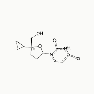 O=c1ccn(C2CC[C@](CO)(C3CC3)O2)c(=O)[nH]1